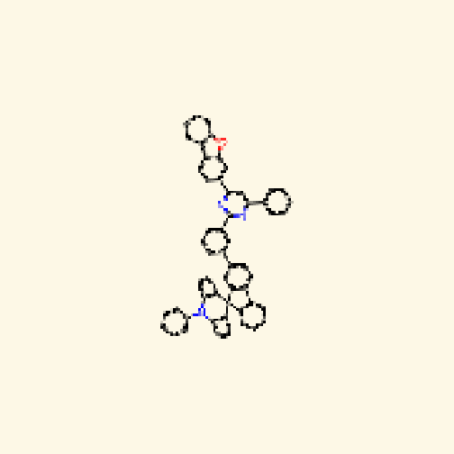 c1ccc(-c2cc(-c3ccc4c(c3)oc3ccccc34)nc(-c3cccc(-c4ccc5c(c4)C4(c6ccccc6-5)c5ccccc5N(c5ccccc5)c5ccccc54)c3)n2)cc1